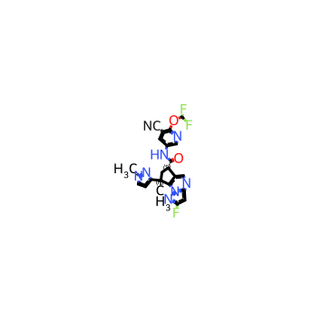 Cn1ccc([C@@]2(C)C[C@H](C(=O)Nc3cnc(OC(F)F)c(C#N)c3)c3cnc4cc(F)nn4c32)n1